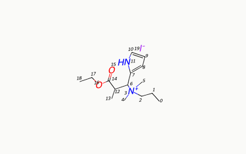 CCC[N+](C)(C)C(c1ccc[nH]1)C(C)C(=O)OCC.[I-]